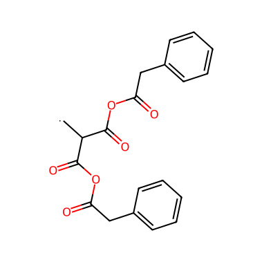 [CH2]C(C(=O)OC(=O)Cc1ccccc1)C(=O)OC(=O)Cc1ccccc1